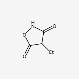 CCC1C(=O)NOC1=O